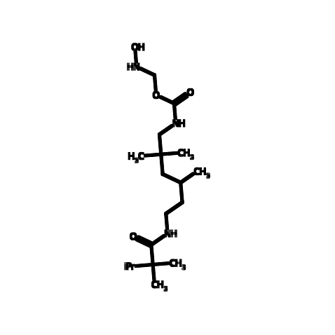 CC(CCNC(=O)C(C)(C)C(C)C)CC(C)(C)CNC(=O)OCNO